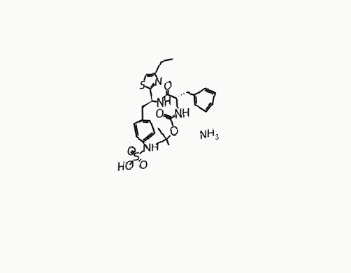 CCc1csc([C@H](Cc2ccc(NS(=O)(=O)O)cc2)NC(=O)[C@H](Cc2ccccc2)NC(=O)OC(C)(C)C)n1.N